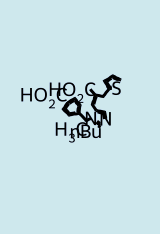 CCCCc1ncc(/C=C(\Cc2cccs2)C(=O)O)n1C(C)c1ccc(C(=O)O)cc1